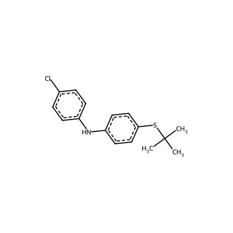 CC(C)(C)Sc1ccc(Nc2ccc(Cl)cc2)cc1